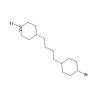 CC[SiH]1CCC(CCCCC2CCC(Br)CC2)CC1